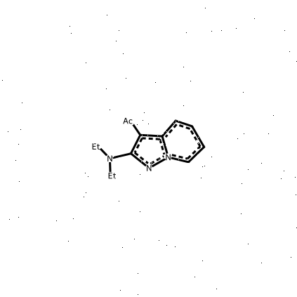 CCN(CC)c1nn2ccccc2c1C(C)=O